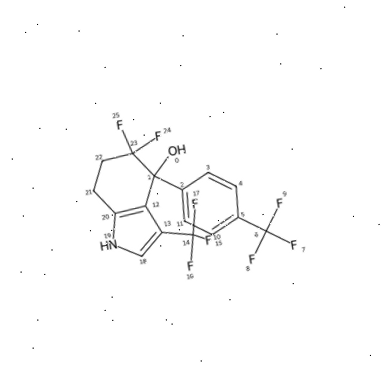 OC1(c2ccc(C(F)(F)F)cc2)c2c(C(F)(F)F)c[nH]c2CCC1(F)F